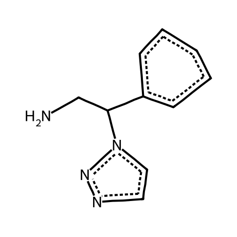 NCC(c1ccccc1)n1ccnn1